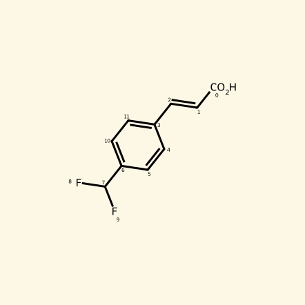 O=C(O)C=Cc1ccc(C(F)F)cc1